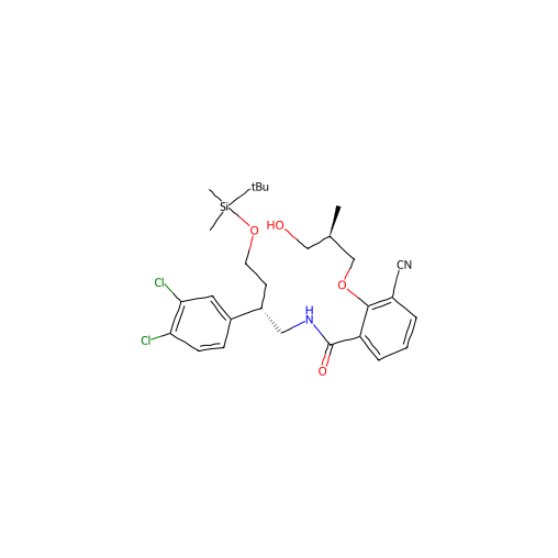 C[C@H](CO)COc1c(C#N)cccc1C(=O)NC[C@@H](CCO[Si](C)(C)C(C)(C)C)c1ccc(Cl)c(Cl)c1